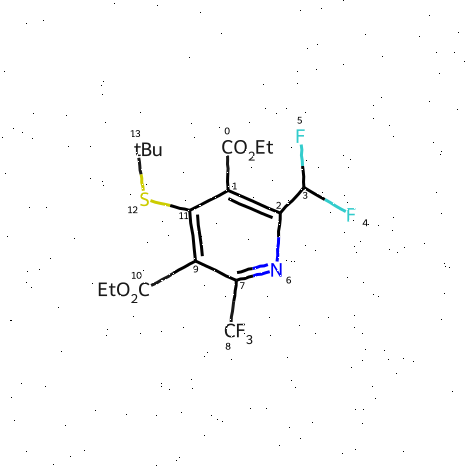 CCOC(=O)c1c(C(F)F)nc(C(F)(F)F)c(C(=O)OCC)c1SC(C)(C)C